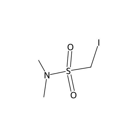 CN(C)S(=O)(=O)CI